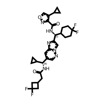 O=C(CC1CC(F)(F)C1)N[C@@H](c1cnn2cc([C@@H](NC(=O)c3nocc3C3CC3)C3CCC(F)(F)CC3)nc2c1)C1CC1